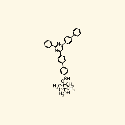 CC(C)(O)C(C)(C)OBc1ccc(-c2ccc(-c3cc(-c4ccc(-c5ccccc5)cc4)nc(-c4ccccc4)n3)cc2)cc1